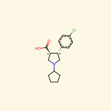 O=C(O)[C@@H]1CN(C2CCCC2)C[C@H]1c1ccc(Cl)cc1